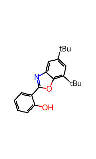 CC(C)(C)c1cc(C(C)(C)C)c2oc(-c3ccccc3O)nc2c1